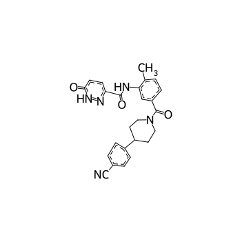 Cc1ccc(C(=O)N2CCC(c3ccc(C#N)cc3)CC2)cc1NC(=O)c1ccc(=O)[nH]n1